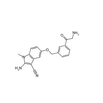 Cn1c(N)c(C#N)c2cc(OCc3cccc(C(=O)CN)c3)ccc21